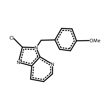 COc1ccc(Cn2c(Cl)nc3cccnc32)cc1